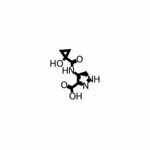 O=C(O)c1n[nH]cc1NC(=O)C1(O)CC1